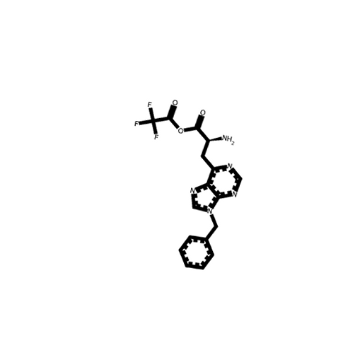 N[C@@H](Cc1ncnc2c1ncn2Cc1ccccc1)C(=O)OC(=O)C(F)(F)F